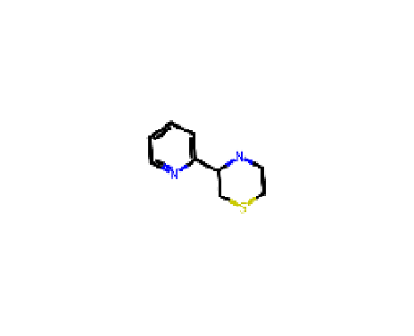 c1ccc(C2CSCC[N]2)nc1